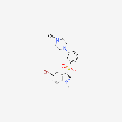 Cn1cc(S(=O)(=O)c2cccc(N3CCN(C(C)(C)C)CC3)c2)c2cc(Br)ccc21